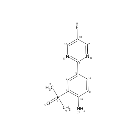 CP(C)(=O)c1cc(-c2ncc(F)cn2)ccc1N